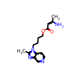 CC(N)=CC(=O)OCCCCn1c(C)nc2cnccc21